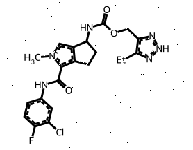 CCc1n[nH]nc1COC(=O)NC1CCc2c1cn(C)c2C(=O)Nc1ccc(F)c(Cl)c1